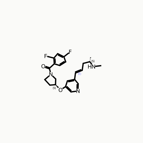 CN[C@@H](C)C/C=C/c1cncc(O[C@H]2CCN(C(=O)c3ccc(F)cc3F)C2)c1